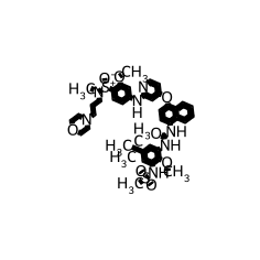 COc1cc(Nc2cc(Oc3ccc(NC(=O)Nc4cc(C(C)(C)C)cc(NS(C)(=O)=O)c4OC)c4ccccc34)ccn2)ccc1[S+]([O-])N(C)CCCN1CCOCC1